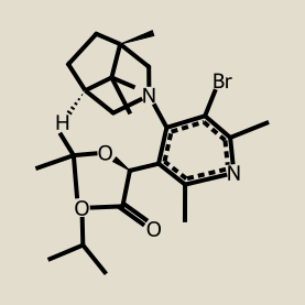 Cc1nc(C)c([C@H](OC(C)(C)C)C(=O)OC(C)C)c(N2C[C@H]3CC[C@](C)(C2)C3(C)C)c1Br